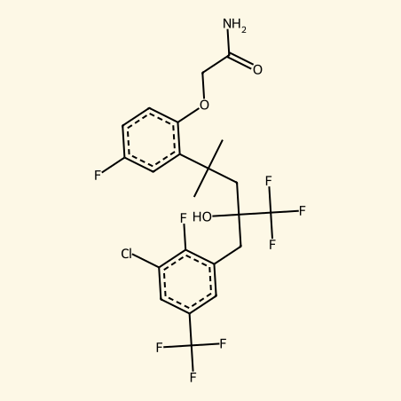 CC(C)(CC(O)(Cc1cc(C(F)(F)F)cc(Cl)c1F)C(F)(F)F)c1cc(F)ccc1OCC(N)=O